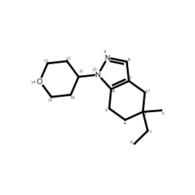 CCC1(C)CCc2c(cnn2C2CCOCC2)C1